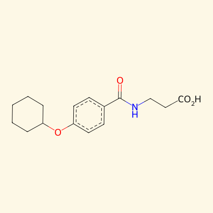 O=C(O)CCNC(=O)c1ccc(OC2CCCCC2)cc1